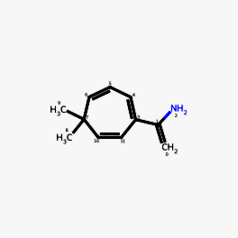 C=C(N)C1=CC=CC(C)(C)C=C1